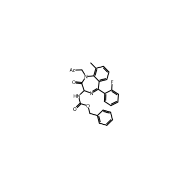 CC(=O)CN1C(=O)C(NC(=O)OCc2ccccc2)N=C(c2ccccc2F)c2cccc(C)c21